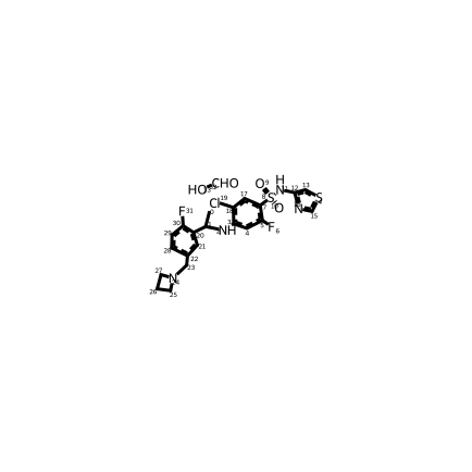 CC(Nc1cc(F)c(S(=O)(=O)Nc2cscn2)cc1Cl)c1cc(CN2CCC2)ccc1F.O=CO